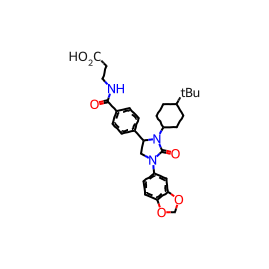 CC(C)(C)C1CCC(N2C(=O)N(c3ccc4c(c3)OCO4)CC2c2ccc(C(=O)NCCC(=O)O)cc2)CC1